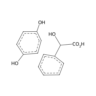 O=C(O)C(O)c1ccccc1.Oc1ccc(O)cc1